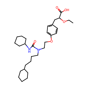 CCOC(Cc1ccc(OCCN(CCCCC2CCCCC2)C(=O)NC2CCCCC2)cc1)C(=O)O